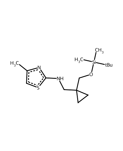 Cc1csc(NCC2(CO[Si](C)(C)C(C)(C)C)CC2)n1